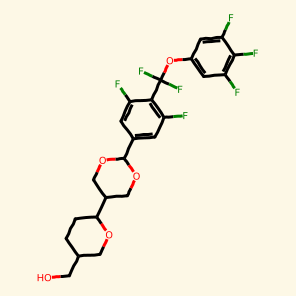 OCC1CCC(C2COC(c3cc(F)c(C(F)(F)Oc4cc(F)c(F)c(F)c4)c(F)c3)OC2)OC1